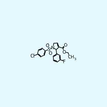 CCOC(=O)C1=CCN(S(=O)(=O)c2ccc(Cl)cc2)C1c1cccc(F)c1